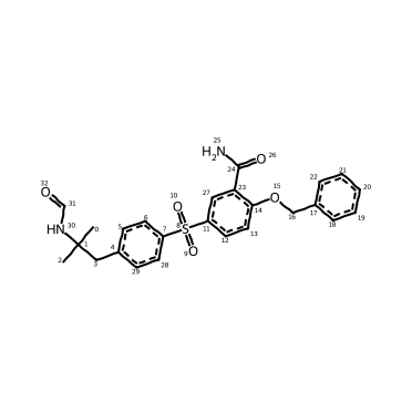 CC(C)(Cc1ccc(S(=O)(=O)c2ccc(OCc3ccccc3)c(C(N)=O)c2)cc1)NC=O